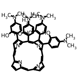 CN(C)c1ccc(C2=CC3=CC4=NC(=CC5=NC(=CC6=NC(=C(c7ccc(N(C)C)cc7O)C2=N3)C(c2ccc(N(C)C)cc2O)=C6c2ccc(N(C)C)cc2O)C=C5)C=C4)c(O)c1